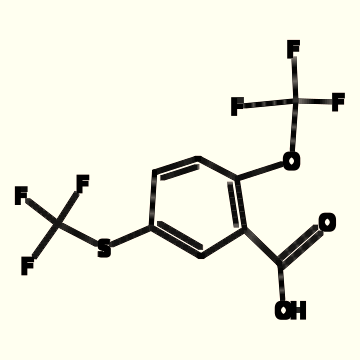 O=C(O)c1cc(SC(F)(F)F)ccc1OC(F)(F)F